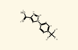 O=C(O)c1cn(-c2ccc(C(F)(F)F)cc2)nn1